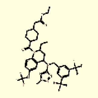 CCOC(=O)CC1CCC(C(=O)N2c3ccc(OC(F)(F)F)cc3C(N(Cc3cc(C(F)(F)F)cc(C(F)(F)F)c3)c3nnn(C)n3)CC2CC)CC1